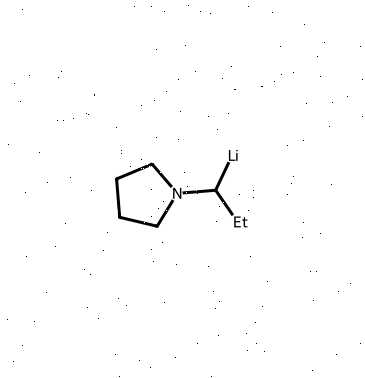 [Li][CH](CC)N1CCCC1